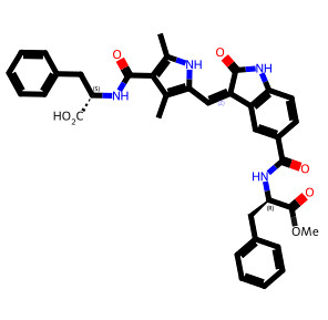 COC(=O)[C@@H](Cc1ccccc1)NC(=O)c1ccc2c(c1)/C(=C/c1[nH]c(C)c(C(=O)N[C@@H](Cc3ccccc3)C(=O)O)c1C)C(=O)N2